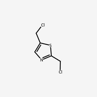 ClCc1cnc(CCl)s1